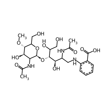 CO[C@@H]1C(CO)O[C@@H](O[C@H](C(O)CO)[C@H](O)C(CNc2ccccc2C(=O)O)NC(C)=O)C(NC(C)=O)[C@H]1O